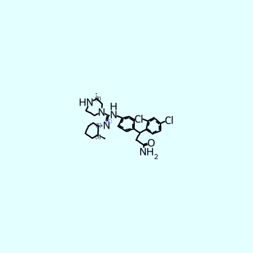 C[C@@H]1CN(/C(=N\[C@H]2CCCC[C@@H]2C)Nc2ccc(C(CC(N)=O)c3ccc(Cl)cc3Cl)cc2)CCN1